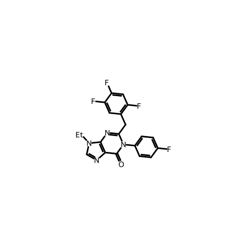 CCn1cnc2c(=O)n(-c3ccc(F)cc3)c(Cc3cc(F)c(F)cc3F)nc21